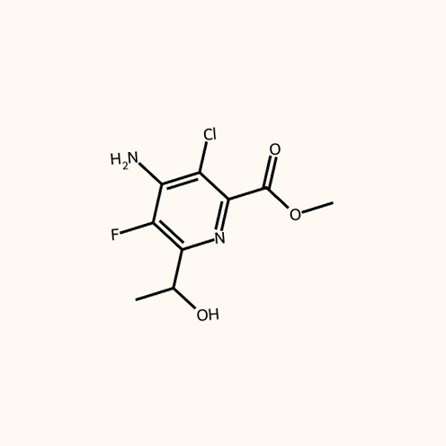 COC(=O)c1nc(C(C)O)c(F)c(N)c1Cl